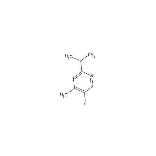 Cc1cc(C(C)C)ncc1F